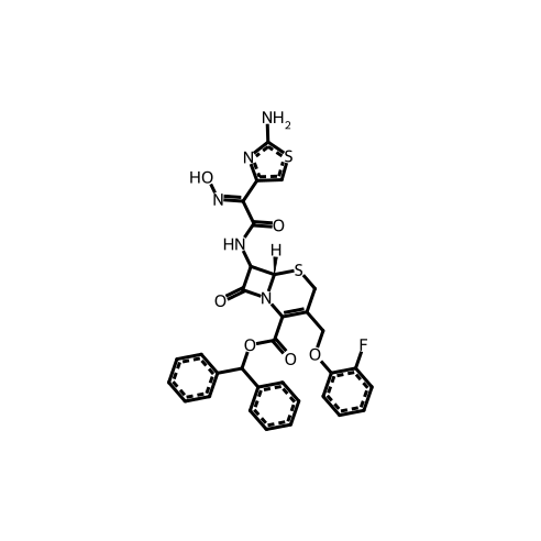 Nc1nc(C(=NO)C(=O)NC2C(=O)N3C(C(=O)OC(c4ccccc4)c4ccccc4)=C(COc4ccccc4F)CS[C@@H]23)cs1